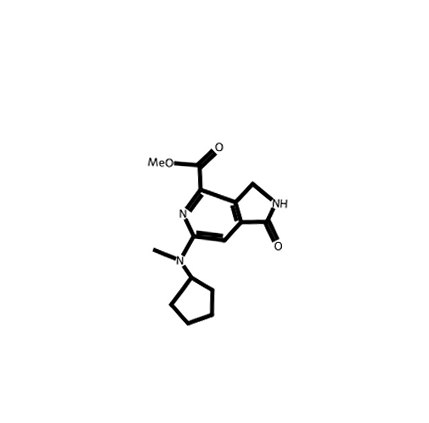 COC(=O)c1nc(N(C)C2CCCC2)cc2c1CNC2=O